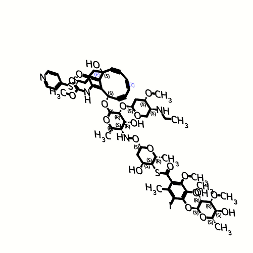 CCN[C@H]1CO[C@@H](O[C@H]2[C@H](O[C@H]3C#C/C=C\C#C[C@]4(O)CC(=O)C(NC(=O)OC)=C3/C4=C\CSSc3ccncc3)O[C@H](C)[C@@H](NO[C@H]3C[C@H](O)[C@H](SC(=O)c4c(C)c(I)c(O[C@@H]5O[C@@H](C)[C@H](O)[C@@H](OC)[C@H]5O)c(OC)c4OC)[C@@H](C)O3)[C@H]2O)C[C@@H]1OC